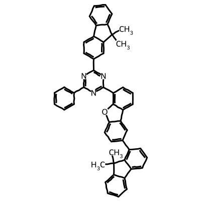 CC1(C)c2ccccc2-c2ccc(-c3nc(-c4ccccc4)nc(-c4cccc5c4oc4ccc(-c6cccc7c6C(C)(C)c6ccccc6-7)cc45)n3)cc21